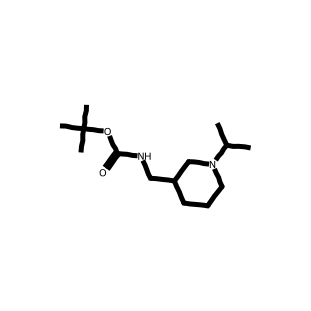 CC(C)N1CCCC(CNC(=O)OC(C)(C)C)C1